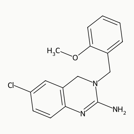 COc1ccccc1CN1Cc2cc(Cl)ccc2N=C1N